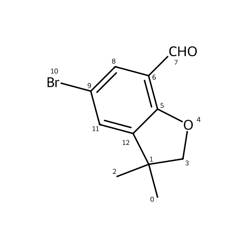 CC1(C)COc2c(C=O)cc(Br)cc21